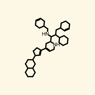 C1=CC(CC(C2CCCCC2)C(NCC2CC=CCC2)C2CC(C3=CC(C4CCC5CCCCC5C4)CC3)=CCN2)CCC1